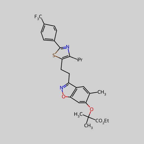 CCOC(=O)C(C)(C)Oc1cc2onc(CCc3sc(-c4ccc(C(F)(F)F)cc4)nc3C(C)C)c2cc1C